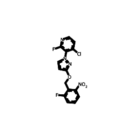 O=[N+]([O-])c1cccc(F)c1COc1ccn(-c2c(Cl)ccnc2F)n1